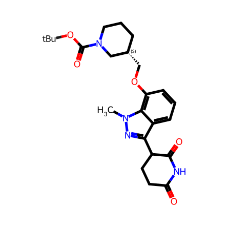 Cn1nc(C2CCC(=O)NC2=O)c2cccc(OC[C@H]3CCCN(C(=O)OC(C)(C)C)C3)c21